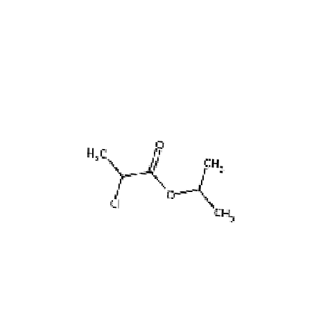 CC(C)OC(=O)C(C)Cl